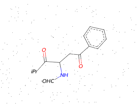 CC(C)C(=O)C(CC(=O)c1ccccc1)N[C]=O